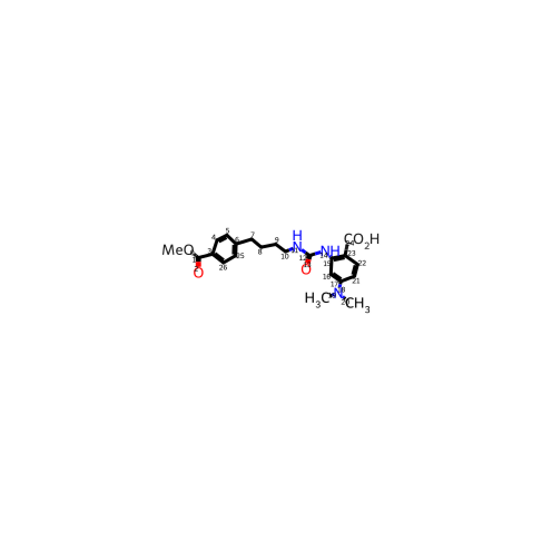 COC(=O)c1ccc(CCCCNC(=O)Nc2cc(N(C)C)ccc2C(=O)O)cc1